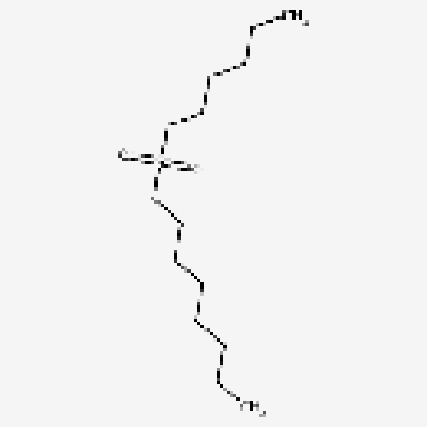 CCCCCCCCS(=O)(=O)CCCCCC